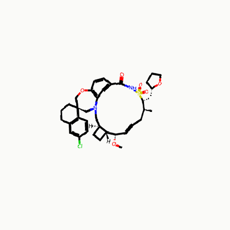 CO[C@H]1/C=C/C[C@H](C)[C@@H](C[C@@H]2CCCO2)S(=O)(=O)NC(=O)c2ccc3c(c2)N(C[C@@H]2CC[C@H]21)C[C@@]1(CCCc2cc(Cl)ccc21)CO3